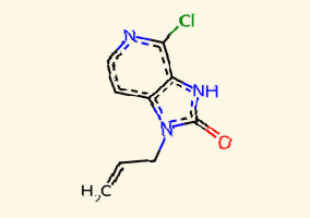 C=CCn1c(=O)[nH]c2c(Cl)nccc21